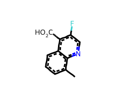 Cc1cccc2c(C(=O)O)c(F)cnc12